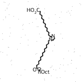 CCCCCCCCOC(=O)CCCCCCCCCCCCCN1CCN=C1CCCCCCCCCCCCC(=O)O